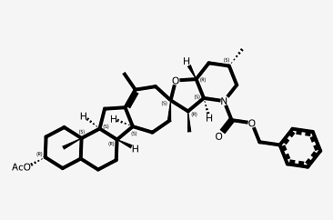 CC(=O)O[C@@H]1CC[C@@]2(C)C(CC[C@H]3[C@@H]4CC[C@@]5(CC(C)=C4C[C@@H]32)O[C@@H]2C[C@H](C)CN(C(=O)OCc3ccccc3)[C@H]2[C@H]5C)C1